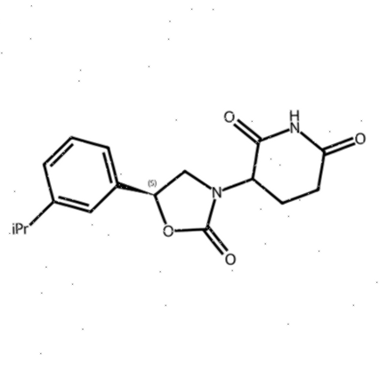 CC(C)c1cccc([C@H]2CN(C3CCC(=O)NC3=O)C(=O)O2)c1